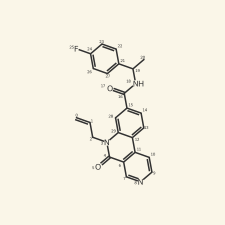 C=CCn1c(=O)c2cnccc2c2ccc(C(=O)NC(C)c3ccc(F)cc3)cc21